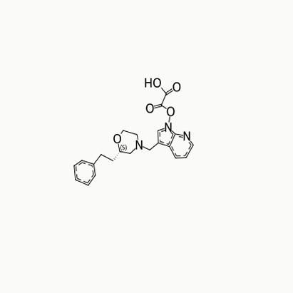 O=C(O)C(=O)On1cc(CN2CCO[C@@H](CCc3ccccc3)C2)c2cccnc21